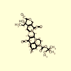 CC[C@@]1(O)C(=C=O)OCC2=C1C=CN(CC1=C(I)C(=C=O)c3cc(F)cc4c3N1CCN4C(=O)OC(C)(C)C)C2=C=O